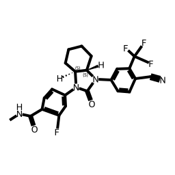 CNC(=O)c1ccc(N2C(=O)N(c3ccc(C#N)c(C(F)(F)F)c3)[C@H]3CCCC[C@@H]32)cc1F